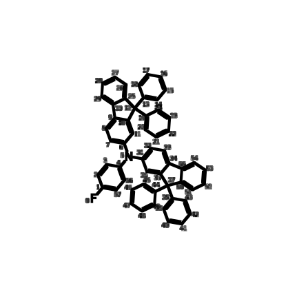 Fc1ccc(N(c2ccc3c(c2)C(c2ccccc2)(c2ccccc2)c2ccccc2-3)c2ccc3c(c2)C(c2ccccc2)(c2ccccc2)c2ccccc2-3)cc1